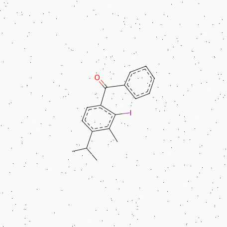 Cc1c(C(C)C)ccc(C(=O)c2ccccc2)c1I